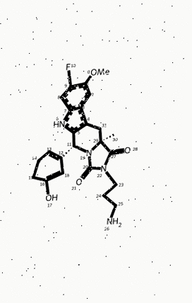 COc1cc2c3c([nH]c2cc1F)[C@@H](C1=CCCC(O)=C1)N1C(=O)N(CCCN)C(=O)[C@]1(C)C3